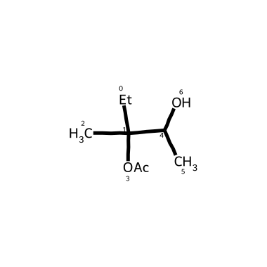 CCC(C)(OC(C)=O)C(C)O